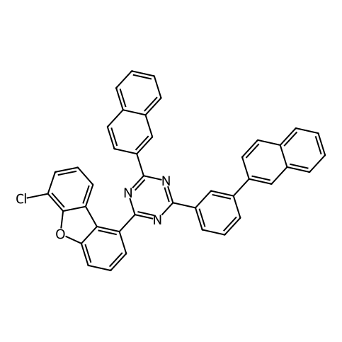 Clc1cccc2c1oc1cccc(-c3nc(-c4cccc(-c5ccc6ccccc6c5)c4)nc(-c4ccc5ccccc5c4)n3)c12